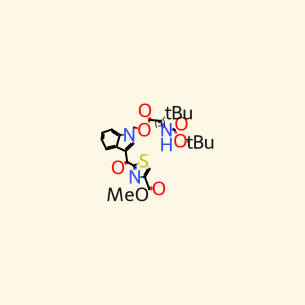 COC(=O)c1csc(C(=O)c2cn(COC(=O)[C@@H](NC(=O)OC(C)(C)C)C(C)(C)C)c3ccccc23)n1